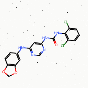 O=C(Nc1cc(Nc2ccc3c(c2)OCO3)ncn1)Nc1c(Cl)cccc1Cl